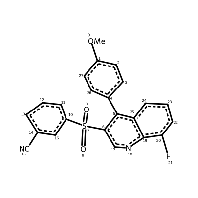 COc1ccc(-c2c(S(=O)(=O)c3cccc(C#N)c3)cnc3c(F)cccc23)cc1